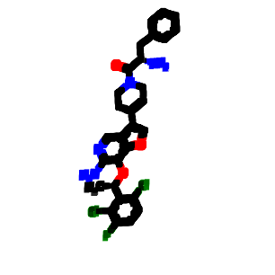 C[C@@H](Oc1c(N)ncc2c(C3=CCN(C(=O)[C@@H](N)Cc4ccccc4)CC3)coc12)c1c(Cl)ccc(F)c1Cl